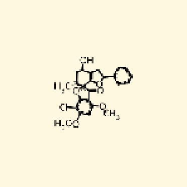 COc1cc(OC)c2c(c1Cl)O[C@]1(C2=O)C2=C(CC(c3ccccc3)O2)C(O)C[C@H]1C